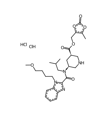 COCCCCn1c(C(=O)N(CC(C)C)[C@@H]2CNC[C@H](C(=O)OCc3oc(=O)oc3C)C2)nc2ccccc21.Cl.Cl